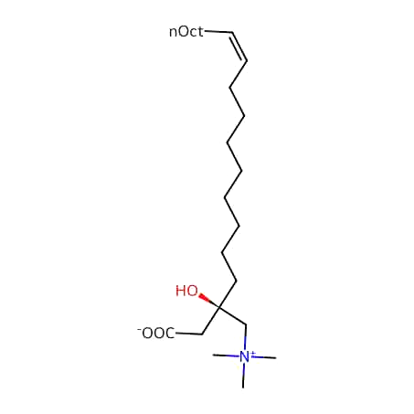 CCCCCCCC/C=C\CCCCCCCC[C@@](O)(CC(=O)[O-])C[N+](C)(C)C